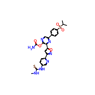 CNC(=S)Nc1ccc(-c2cc(-c3nc(-c4ccc(S(=O)(=O)C(C)C)cc4)cnc3OC(N)=O)on2)nc1